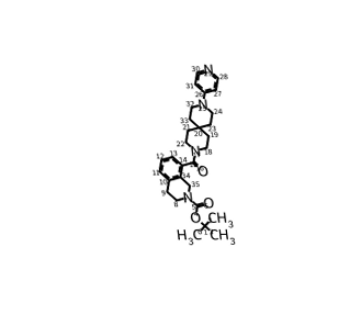 CC(C)(C)OC(=O)N1CCc2cccc(C(=O)N3CCC4(CC3)CCN(c3ccncc3)CC4)c2C1